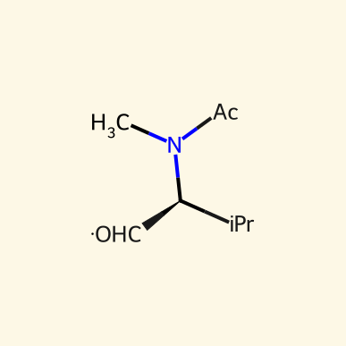 CC(=O)N(C)[C@H]([C]=O)C(C)C